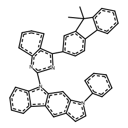 CC1(C)c2ccccc2-c2ccc(-c3nc(-n4c5ccccc5c5cc6ccn(-c7ccccc7)c6cc54)nc4ccccc34)cc21